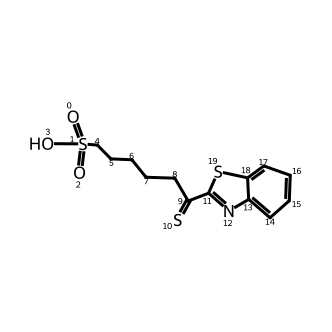 O=S(=O)(O)CCCCCC(=S)c1nc2ccccc2s1